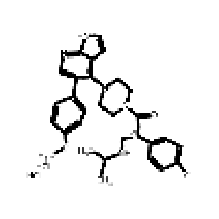 COc1ccc(-c2cnc3[nH]ccc3c2N2CCN(C(=O)[C@H](CNC(C)C)c3ccc(Cl)cc3)CC2)cc1.Cl.Cl